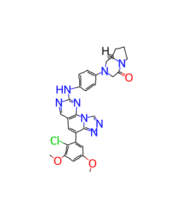 COc1cc(OC)c(Cl)c(-c2cc3cnc(Nc4ccc(N5CC(=O)N6CCC[C@@H]6C5)cc4)nc3n3cnnc23)c1